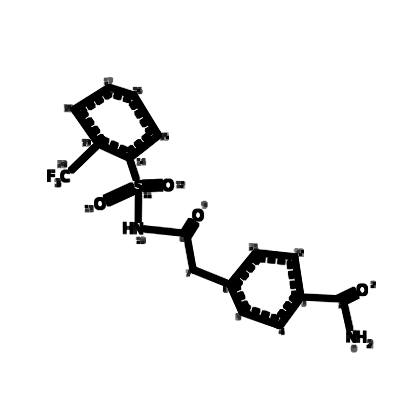 NC(=O)c1ccc(CC(=O)NS(=O)(=O)c2ccccc2C(F)(F)F)cc1